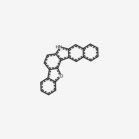 c1ccc2cc3c(cc2c1)[nH]c1ccc2c4ccccc4oc2c13